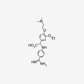 CCOc1cc(C(Nc2ccc(C(=N)N)cc2)C(=O)O)ccc1OCCN(C)C